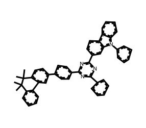 CC1(C)c2ccccc2-c2cc(-c3ccc(-c4nc(-c5ccccc5)nc(-c5ccc6c7ccccc7n(-c7ccccc7)c6c5)n4)cc3)ccc2C1(C)C